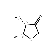 C[C@H]1OCC(=O)[C@H]1N